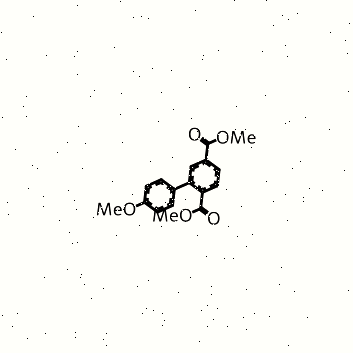 COC(=O)c1ccc(C(=O)OC)c(-c2ccc(OC)cc2)c1